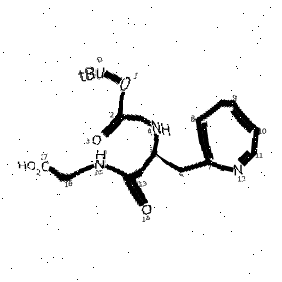 CC(C)(C)OC(=O)N[C@@H](Cc1ccccn1)C(=O)NCC(=O)O